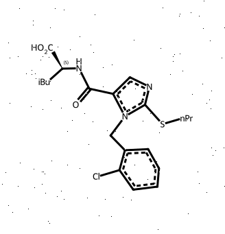 CCCSc1ncc(C(=O)N[C@H](C(=O)O)C(C)CC)n1Cc1ccccc1Cl